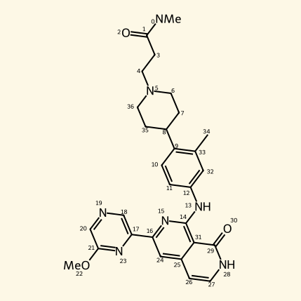 CNC(=O)CCN1CCC(c2ccc(Nc3nc(-c4cncc(OC)n4)cc4cc[nH]c(=O)c34)cc2C)CC1